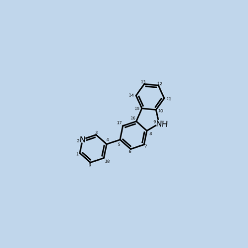 c1cncc(-c2ccc3[nH]c4ccccc4c3c2)c1